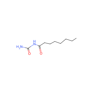 CCCCCCCC(=O)NC(N)=O